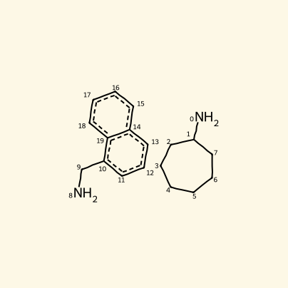 NC1CCCCCC1.NCc1cccc2ccccc12